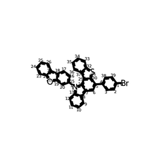 Brc1ccc(-c2cc3c4ccccc4n(-c4ccc5c(c4)oc4ccccc45)c3c3c2sc2ccccc23)cc1